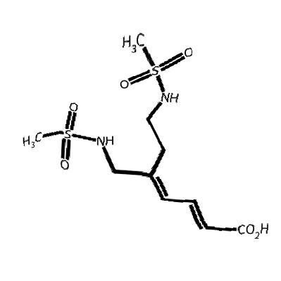 CS(=O)(=O)NCC/C(=C\C=C\C(=O)O)CNS(C)(=O)=O